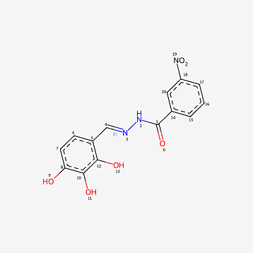 O=C(N/N=C/c1ccc(O)c(O)c1O)c1cccc([N+](=O)[O-])c1